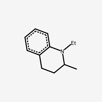 CCN1c2ccccc2CCC1C